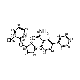 NC(=O)c1cc(-c2ccncc2)ccc1N1CC[C@@H](Oc2ncccc2Cl)C1